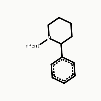 CCCCCN1CCCCC1c1ccccc1